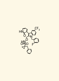 O=c1[nH]cccc1-c1c(CONS(=O)(=O)C2(Cc3ccccc3)CC2)n(Cc2ccccc2F)c2ccc(C(F)(F)F)cc12